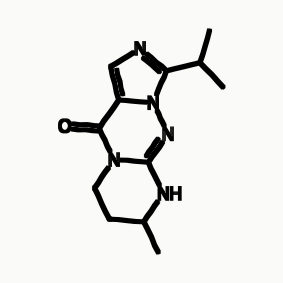 CC1CCn2c(nn3c(C(C)C)ncc3c2=O)N1